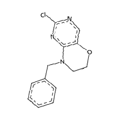 Clc1ncc2c(n1)N(Cc1ccccc1)CCO2